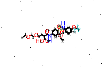 CCOCCOCCC(C(=O)O)C(=O)Nc1ccc(S(=O)(=O)Nc2cccc(OC(F)(F)F)c2)c(OCC)c1